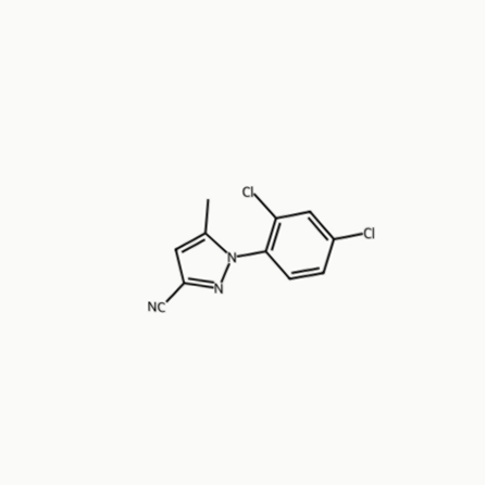 Cc1cc(C#N)nn1-c1ccc(Cl)cc1Cl